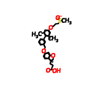 Cc1cc(OCCC[S+](C)[O-])cc(C)c1-c1cccc(COc2ccc3c(c2)OC[C@H]3CCC(=O)O)c1